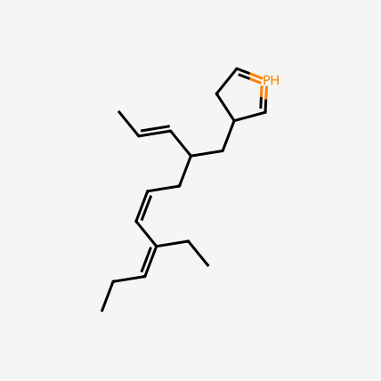 CC=CC(C/C=C\C(=C/CC)CC)CC1C=[PH]=CC1